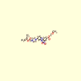 COCCOC(=O)c1ccc(Nc2cccc(N3CCN(CC(=O)OC(C)C)CC3)c2)c([N+](=O)[O-])c1